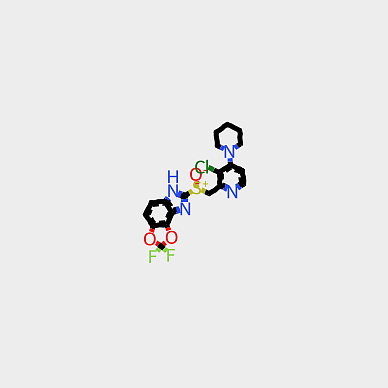 [O-][S+](Cc1nccc(N2CCCCC2)c1Cl)c1nc2c3c(ccc2[nH]1)OC(F)(F)O3